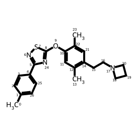 Cc1ccc(-c2nsc(Oc3cc(C)c(CCN4CCC4)cc3C)n2)cc1